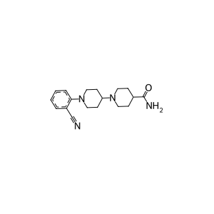 N#Cc1ccccc1N1CCC(N2CCC(C(N)=O)CC2)CC1